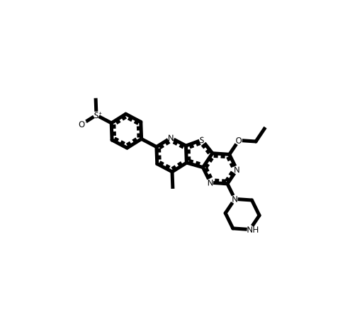 CCOc1nc(N2CCNCC2)nc2c1sc1nc(-c3ccc([S+](C)[O-])cc3)cc(C)c12